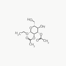 CCO[C@@H]1O[C@H](CO)[C@@H](O)[C@H](OC(C)=O)[C@H]1OC(C)=O